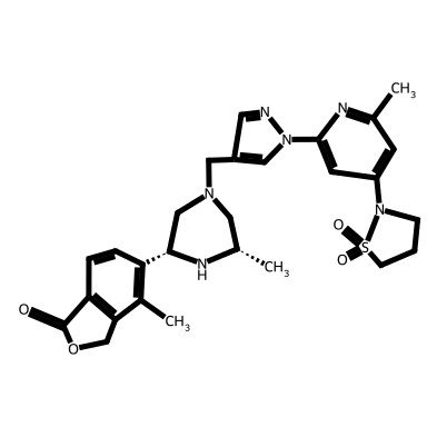 Cc1cc(N2CCCS2(=O)=O)cc(-n2cc(CN3C[C@@H](c4ccc5c(c4C)COC5=O)N[C@@H](C)C3)cn2)n1